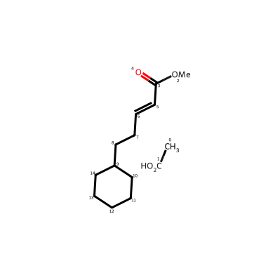 CC(=O)O.COC(=O)C=CCCC1CCCCC1